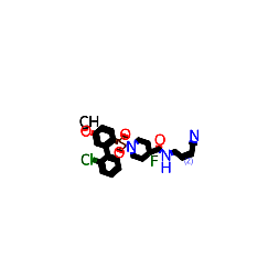 COc1ccc(S(=O)(=O)N2CCC(F)(C(=O)NC/C=C\C#N)CC2)c(-c2ccccc2Cl)c1